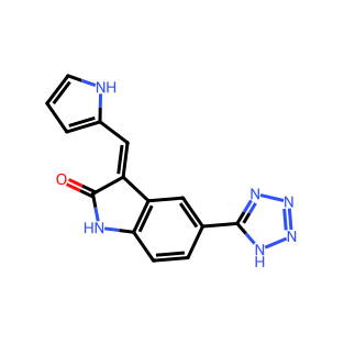 O=C1Nc2ccc(-c3nnn[nH]3)cc2/C1=C/c1ccc[nH]1